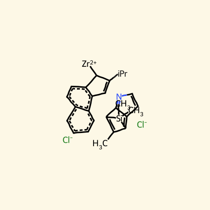 CC(C)C1=Cc2c(ccc3ccccc23)[CH]1[Zr+2].CC1=C2C3=NC=CC3=C1[Si]2(C)C.[Cl-].[Cl-]